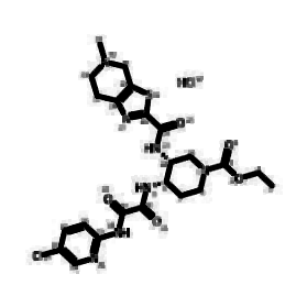 CCOC(=O)N1CC[C@H](NC(=O)C(=O)Nc2ccc(Cl)cn2)[C@H](NC(=O)c2nc3c(s2)CN(C)CC3)C1.Cl